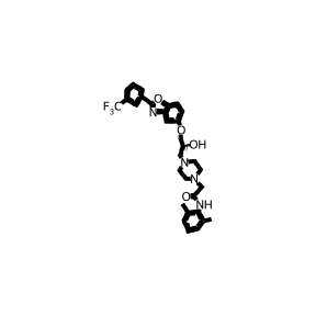 Cc1cccc(C)c1NC(=O)CN1CCN(C[C@H](O)COc2ccc3oc(-c4cccc(C(F)(F)F)c4)nc3c2)CC1